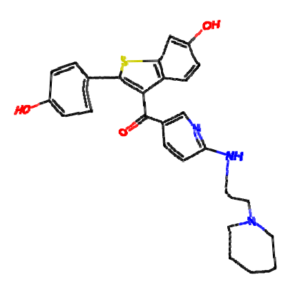 O=C(c1ccc(NCCN2CCCCC2)nc1)c1c(-c2ccc(O)cc2)sc2cc(O)ccc12